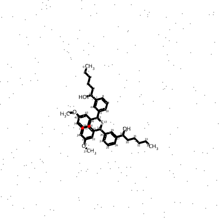 CCCCCC(O)c1cccc(C(SC(c2cccc(OC)c2)c2cccc(C(O)CCCCC)c2)c2cccc(OC)c2)c1